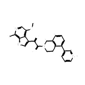 COc1cnc(Cl)c2[nH]cc(C(=O)C(=O)N3CCc4c(cccc4-c4cccnc4)C3)c12